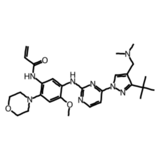 C=CC(=O)Nc1cc(Nc2nccc(-n3cc(CN(C)C)c(C(C)(C)C)n3)n2)c(OC)cc1N1CCOCC1